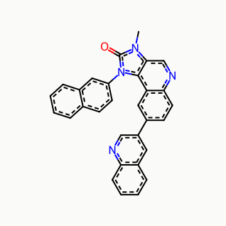 Cn1c(=O)n(-c2ccc3ccccc3c2)c2c3cc(-c4cnc5ccccc5c4)ccc3ncc21